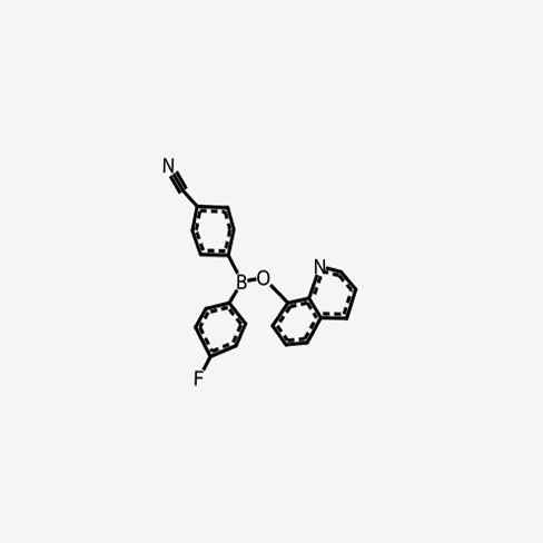 N#Cc1ccc(B(Oc2cccc3cccnc23)c2ccc(F)cc2)cc1